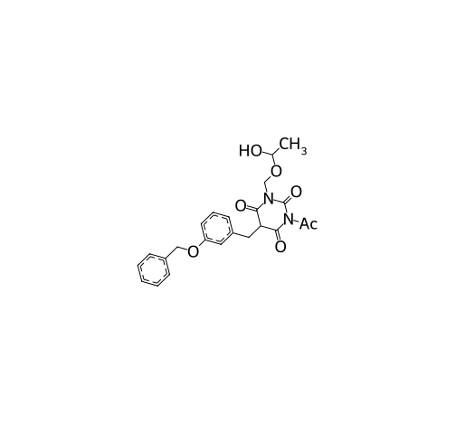 CC(=O)N1C(=O)C(Cc2cccc(OCc3ccccc3)c2)C(=O)N(COC(C)O)C1=O